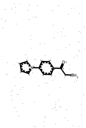 BCC(=O)c1ccc(-n2cccc2)cc1